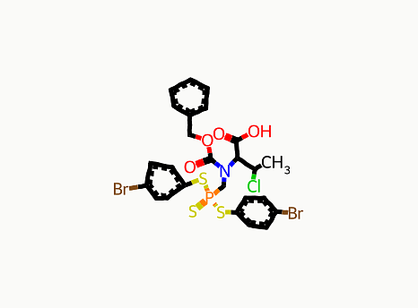 CC(Cl)C(C(=O)O)N(CP(=S)(Sc1ccc(Br)cc1)Sc1ccc(Br)cc1)C(=O)OCc1ccccc1